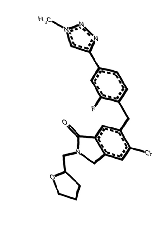 Cc1cc2c(cc1Cc1ccc(-c3cn(C)nn3)cc1F)C(=O)N(CC1CCCO1)C2